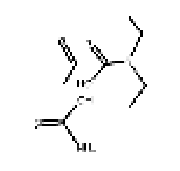 C=CC.CCN(CC)C(O)=S.NC(O)=S